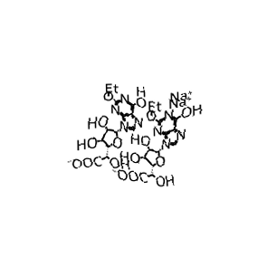 CCOc1nc(O)c2ncn([C@@H]3O[C@H](C(O)C(=O)[O-])[C@@H](O)[C@H]3O)c2n1.CCOc1nc(O)c2ncn([C@@H]3O[C@H](C(O)C(=O)[O-])[C@@H](O)[C@H]3O)c2n1.[Na+].[Na+]